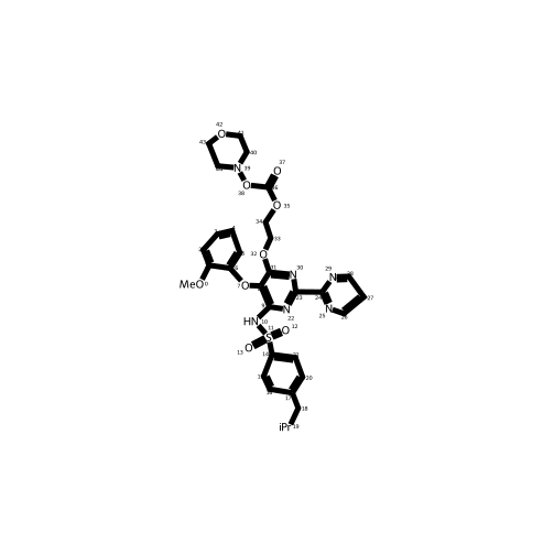 COc1ccccc1Oc1c(NS(=O)(=O)c2ccc(CC(C)C)cc2)nc(-c2ncccn2)nc1OCCOC(=O)ON1CCOCC1